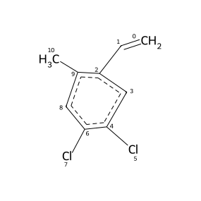 C=Cc1cc(Cl)c(Cl)cc1C